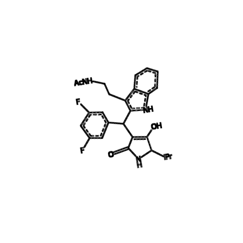 CC(=O)NCCc1c(C(C2=C(O)C(C(C)C)NC2=O)c2cc(F)cc(F)c2)[nH]c2ccccc12